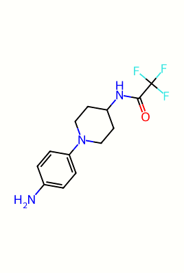 Nc1ccc(N2CCC(NC(=O)C(F)(F)F)CC2)cc1